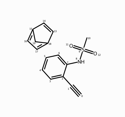 C#Cc1ccccc1NS(C)(=O)=O.C1=CC2=CC=C1C2